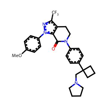 COc1ccc(-n2nc(C(F)(F)F)c3c2C(=O)N(c2ccc(C4(CN5CCCC5)CCC4)cc2)CC3)cc1